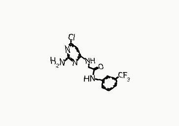 Nc1nc(Cl)cc(NCC(=O)Nc2cccc(C(F)(F)F)c2)n1